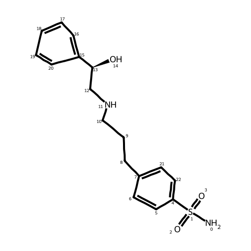 NS(=O)(=O)c1ccc(CCCNC[C@H](O)c2ccccc2)cc1